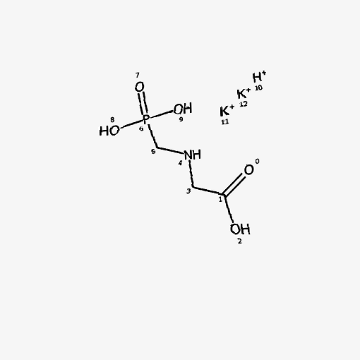 O=C(O)CNCP(=O)(O)O.[H+].[K+].[K+]